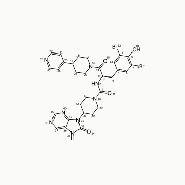 O=C(N[C@H](Cc1cc(Br)c(O)c(Br)c1)C(=O)N1CCC(c2ccncc2)CC1)N1CCC(n2c(=O)[nH]c3cncnc32)CC1